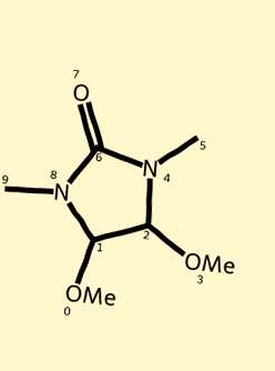 COC1C(OC)N(C)C(=O)N1C